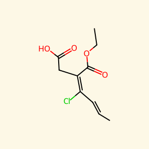 CC=CC(Cl)=C(CC(=O)O)C(=O)OCC